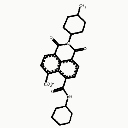 CC1CCC(N2C(=O)c3ccc(C(=O)O)c4c(C(=O)NC5CCCCC5)ccc(c34)C2=O)CC1